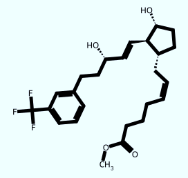 COC(=O)CCC/C=C\C[C@H]1CC[C@@H](O)[C@@H]1/C=C/[C@@H](O)CCc1cccc(C(F)(F)F)c1